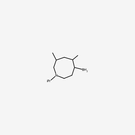 BC1CCN(C(C)C)CC(C)CC1C